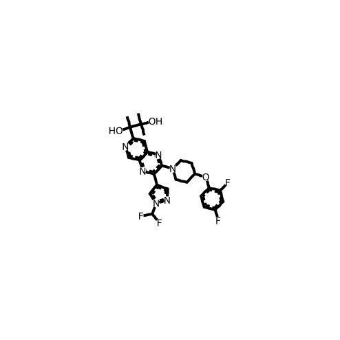 CC(C)(O)C(C)(O)c1cc2nc(N3CCC(Oc4ccc(F)cc4F)CC3)c(-c3cnn(C(F)F)c3)nc2cn1